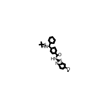 COc1ccc2nc(NC(=O)c3ccc([C@H](NSC(C)(C)C)c4ccccc4)cc3)sc2c1